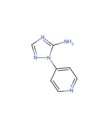 Nc1ncnn1-c1ccncc1